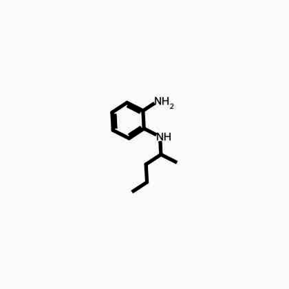 CCCC(C)Nc1ccccc1N